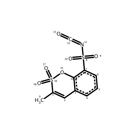 CC1=Cc2cccc(S(=O)(=O)N=C=O)c2OS1(=O)=O